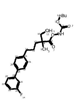 CCCCOC(=O)NOC(=O)C(C)(CO)CCCc1ccc(-c2cccc(F)c2)cc1